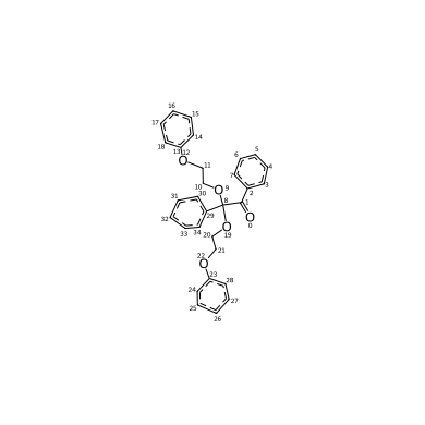 O=C(c1ccccc1)C(OCCOc1ccccc1)(OCCOc1ccccc1)c1ccccc1